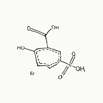 O=C(O)c1cc(S(=O)(=O)O)ccc1O.[Er]